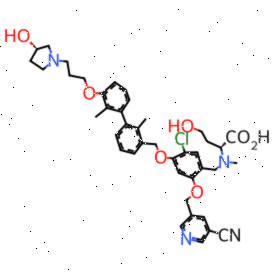 Cc1c(COc2cc(OCc3cncc(C#N)c3)c(CN(C)[C@@H](CCO)C(=O)O)cc2Cl)cccc1-c1cccc(OCCCN2CC[C@@H](O)C2)c1C